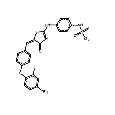 Nc1ccc(Oc2ccc(C=C3SC(Nc4ccc(NS(=O)(=O)C(F)(F)F)cc4)=NC3=O)cc2)c(F)c1